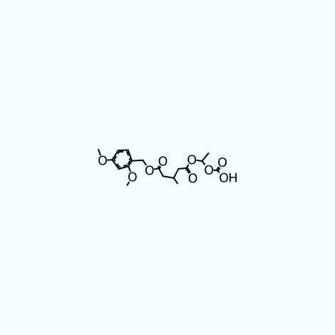 COc1ccc(COC(=O)CC(C)CC(=O)OC(C)OC(=O)O)c(OC)c1